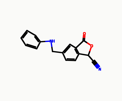 N#CC1OC(=O)c2cc(CNc3ccccc3)ccc21